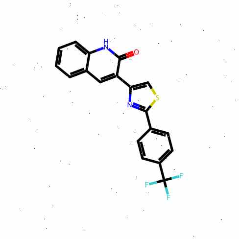 O=c1[nH]c2ccccc2cc1-c1csc(-c2ccc(C(F)(F)F)cc2)n1